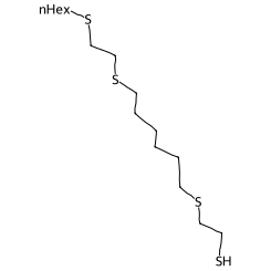 CCCCCCSCCSCCCCCCSCCS